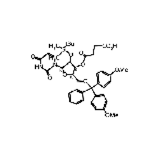 COc1ccc(C(OC[C@H]2O[C@@H](n3ccc(=O)[nH]c3=O)C(O[Si](C)(C)C(C)(C)C)[C@H]2OC(=O)CCC(=O)O)(c2ccccc2)c2ccc(OC)cc2)cc1